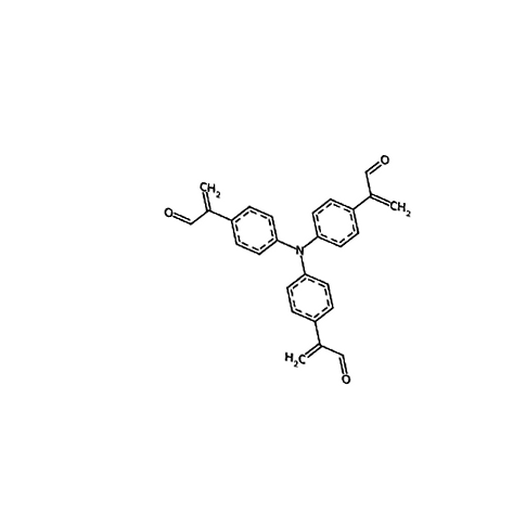 C=C(C=O)c1ccc(N(c2ccc(C(=C)C=O)cc2)c2ccc(C(=C)C=O)cc2)cc1